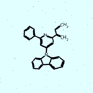 C=CC(=C)c1cc(-n2c3ccccc3c3ccccc32)cc(-c2ccccc2)n1